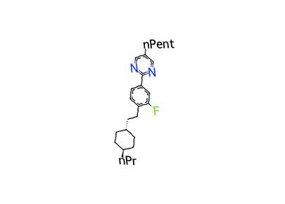 CCCCCc1cnc(-c2ccc(CC[C@H]3CC[C@H](CCC)CC3)c(F)c2)nc1